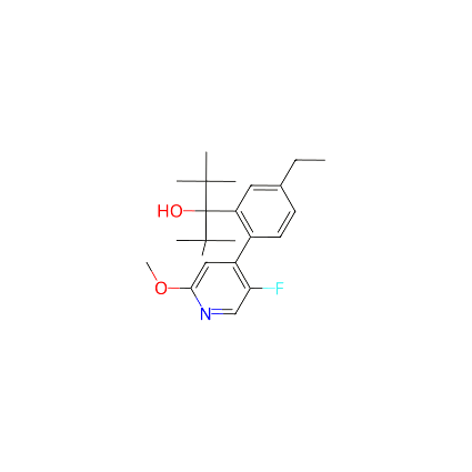 CCc1ccc(-c2cc(OC)ncc2F)c(C(O)(C(C)(C)C)C(C)(C)C)c1